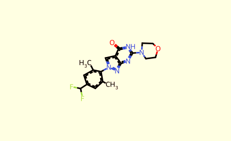 Cc1cc(C(F)F)cc(C)c1-n1cc2c(=O)[nH]c(N3CCOCC3)nc2n1